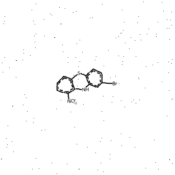 O=[N+]([O-])c1cccc2c1Nc1cc(Br)ccc1S2